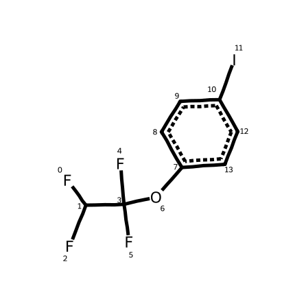 FC(F)C(F)(F)Oc1ccc(I)cc1